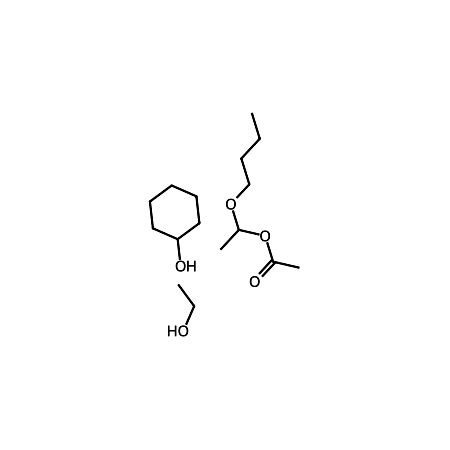 CCCCOC(C)OC(C)=O.CCO.OC1CCCCC1